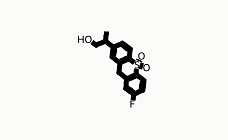 CC(CO)c1ccc2c(c1)Cc1cc(F)ccc1S2(=O)=O